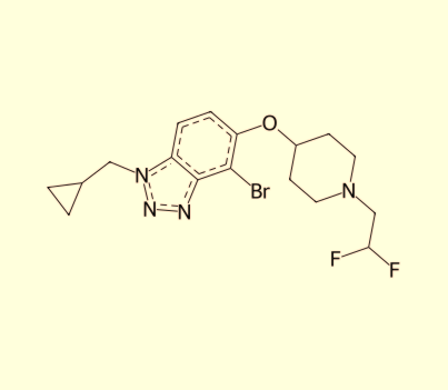 FC(F)CN1CCC(Oc2ccc3c(nnn3CC3CC3)c2Br)CC1